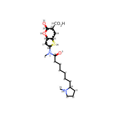 CN(C(=O)CCCCCCC1CCCN1C)c1cc2oc(=O)c(C(=O)O)cc2s1